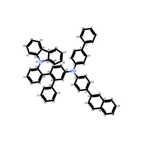 c1ccc(-c2ccc(N(c3ccc(-c4ccc5ccccc5c4)cc3)c3ccc(-c4ccccc4-n4c5ccccc5c5ccccc54)c(-c4ccccc4)c3)cc2)cc1